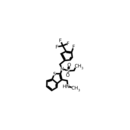 CCS(=O)(=O)N(Cc1ccc(F)c(C(F)(F)F)c1)c1sc2ccccc2c1CNC